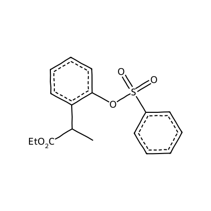 CCOC(=O)C(C)c1ccccc1OS(=O)(=O)c1ccccc1